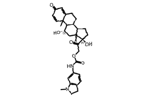 CN1CCc2ccc(NC(=O)OCC(=O)[C@@]3(O)CCC4C5CCC6=CC(=O)C=CC6(C)C5[C@@H](O)CC43C)cc21